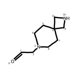 O=CCN1CCC2(CC1)CNC2